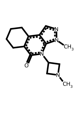 CN1CC(n2c(=O)c3c(c4cnn(C)c42)CCCC3)C1